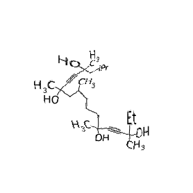 CCC(C)(O)C#CC(C)(O)CCCC(C)CC(C)(O)C#CC(C)(O)CC(C)C